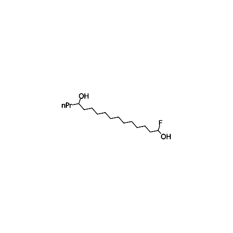 CCCC(O)CCCCCCCCCCCC(O)F